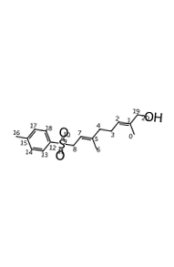 C/C(=C\CC/C(C)=C/CS(=O)(=O)c1ccc(C)cc1)CO